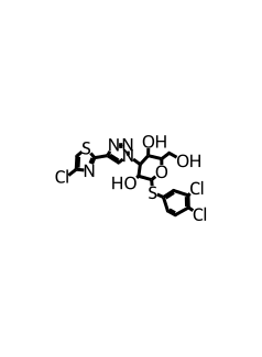 OCC1OC(Sc2ccc(Cl)c(Cl)c2)C(O)C(n2cc(-c3nc(Cl)cs3)nn2)C1O